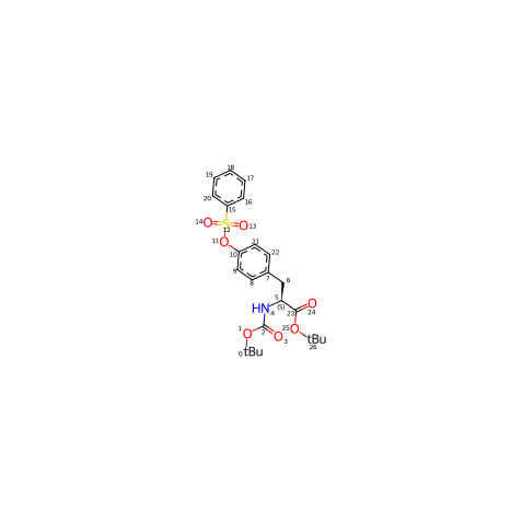 CC(C)(C)OC(=O)N[C@@H](Cc1ccc(OS(=O)(=O)c2ccccc2)cc1)C(=O)OC(C)(C)C